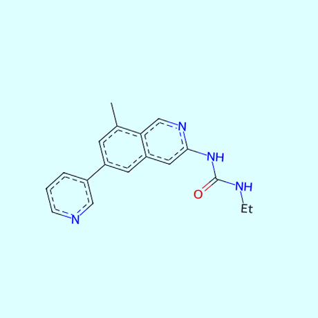 CCNC(=O)Nc1cc2cc(-c3cccnc3)cc(C)c2cn1